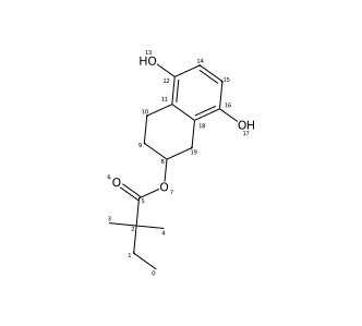 CCC(C)(C)C(=O)OC1CCc2c(O)ccc(O)c2C1